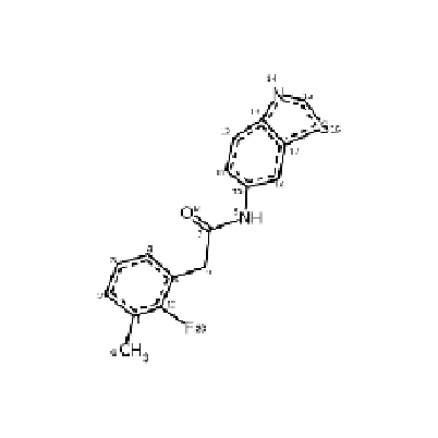 Cc1cccc(CC(=O)Nc2ccc3ncsc3c2)c1F